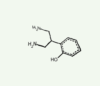 NCC(CN)c1ccccc1O